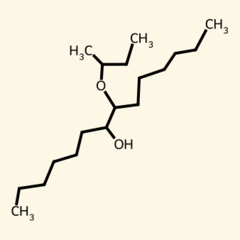 CCCCCCC(O)C(CCCCCC)OC(C)CC